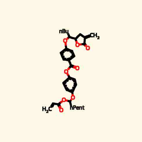 C=CC(=O)OC(CCCCC)Oc1ccc(OC(=O)c2ccc(OC(CCCC)C3CC(=C)C(=O)O3)cc2)cc1